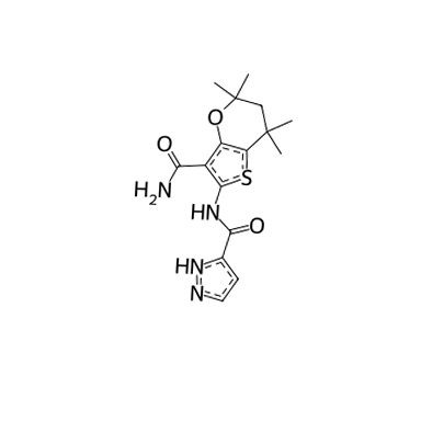 CC1(C)CC(C)(C)c2sc(NC(=O)c3ccn[nH]3)c(C(N)=O)c2O1